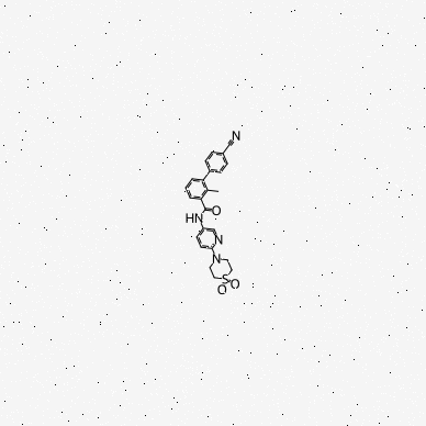 Cc1c(C(=O)Nc2ccc(N3CCS(=O)(=O)CC3)nc2)cccc1-c1ccc(C#N)cc1